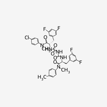 Cc1ccc(N(C)C(=O)[C@H](Cc2cc(F)cc(F)c2)NC(=O)NS(=O)(=O)N[C@@H](Cc2cc(F)cc(F)c2)C(=O)N(C)c2ccc(Cl)cc2)cc1